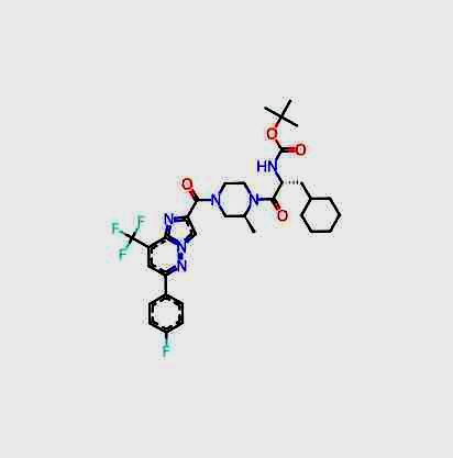 C[C@H]1CN(C(=O)c2cn3nc(-c4ccc(F)cc4)cc(C(F)(F)F)c3n2)CCN1C(=O)[C@@H](CC1CCCCC1)NC(=O)OC(C)(C)C